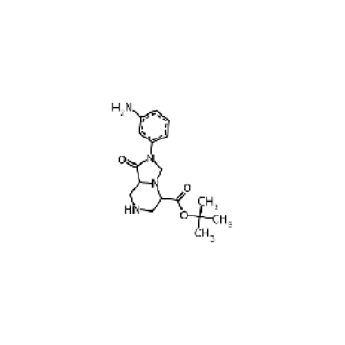 CC(C)(C)OC(=O)C1CNCC2C(=O)N(c3cccc(N)c3)CN12